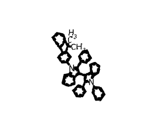 CC1(C)c2ccccc2-c2ccc(-n3c(-c4ccccc4)c(-c4c(-c5ccccc5)n(-c5ccccc5)c5ccccc45)c4ccccc43)cc21